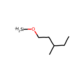 CCC(C)CCO[SiH2]